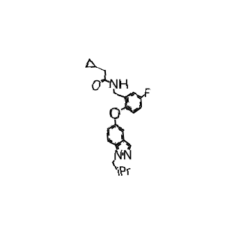 CC(C)Cn1ncc2cc(Oc3ccc(F)cc3CNC(=O)CC3CC3)ccc21